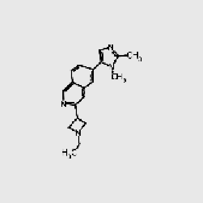 CCN1CC(c2cc3cc(-c4cnc(C)n4C)ccc3cn2)C1